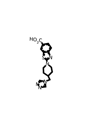 O=C(O)c1ccc2nc(N3CCC(Cn4cnnc4)CC3)sc2c1